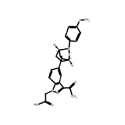 COc1ccc(N2C[C@@H]3CC[C@H]2C=C3c2ccc3c(c2)c(C(C)=O)nn3CC(=O)O)cc1